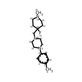 Cc1ccc(N2CCN(CC3(F)CCN(C)CC3)CC2)cc1